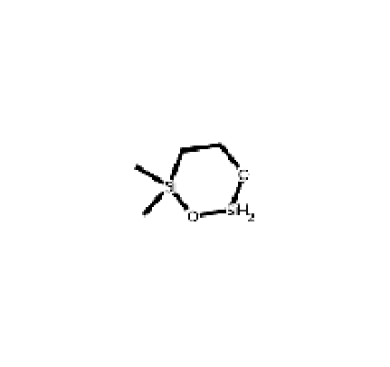 C[Si]1(C)CCO[SiH2]O1